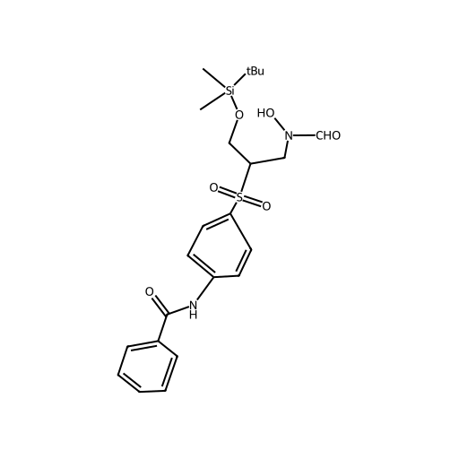 CC(C)(C)[Si](C)(C)OCC(CN(O)C=O)S(=O)(=O)c1ccc(NC(=O)c2ccccc2)cc1